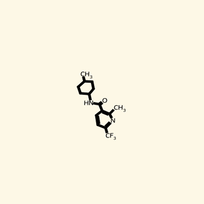 Cc1nc(C(F)(F)F)ccc1C(=O)NC1CCC(C)CC1